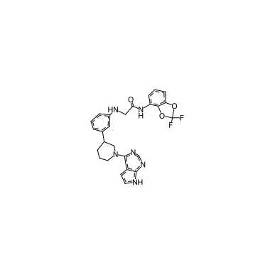 O=C(CNc1cccc(C2CCCN(c3ncnc4[nH]ccc34)C2)c1)Nc1cccc2c1OC(F)(F)O2